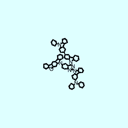 c1ccc(N(c2ccccc2)c2ccc3c(c2)c2ccccc2n3-c2nc(-n3c4ccccc4c4cc(-c5ccc6c(c5)c5ccccc5n6-c5ccccc5)ccc43)c3cc(-n4c5ccccc5c5cc6c(cc54)oc4ccccc46)ccc3n2)cc1